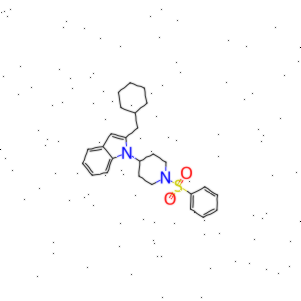 O=S(=O)(c1ccccc1)N1CCC(n2c(CC3CCCCC3)cc3ccccc32)CC1